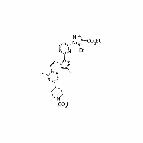 CCOC(=O)c1cnn(-c2cccc(-c3sc(C)cc3/C=C\c3ccc(C4CCN(C(=O)O)CC4)cc3C)n2)c1CC